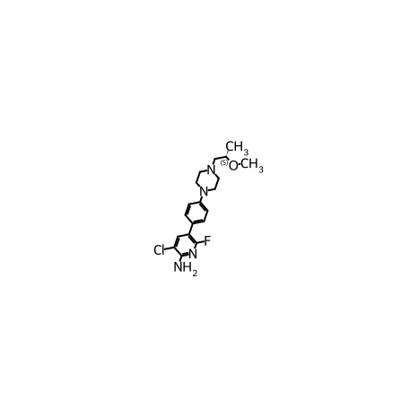 CO[C@@H](C)CN1CCN(c2ccc(-c3cc(Cl)c(N)nc3F)cc2)CC1